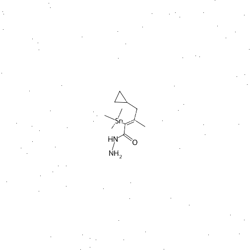 CC(CC1CC1)=[C](C(=O)NN)[Sn]([CH3])([CH3])[CH3]